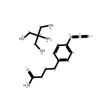 NC(=O)CCCc1ccc(N=C=S)cc1.NC(CO)(CO)CO